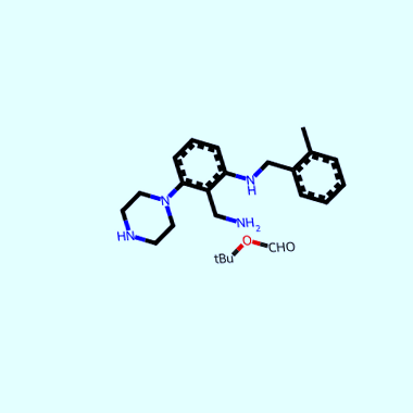 CC(C)(C)OC=O.Cc1ccccc1CNc1cccc(N2CCNCC2)c1CN